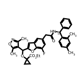 CCOC(=O)C1(OC(c2cc3cc(CC(=O)N[C@@H](c4ccccc4)c4ccc(C)cc4C)cc(F)c3o2)c2c(C)noc2C)CC1